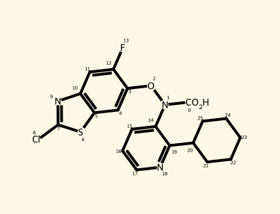 O=C(O)N(Oc1cc2sc(Cl)nc2cc1F)c1cccnc1C1CCCCC1